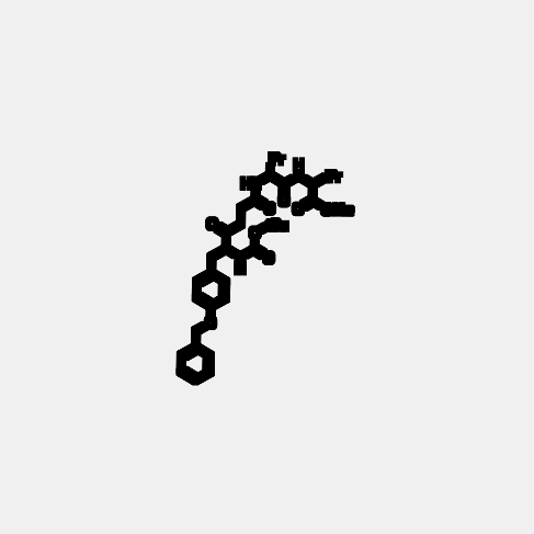 COC(=O)C(NC(=O)C(NC(=O)CCC(=O)C(Cc1ccc(OCc2ccccc2)cc1)NC(=O)OC(C)(C)C)C(C)C)C(C)C